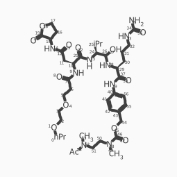 CCCOCCOCCC(=O)N[C@@H](CC(=O)NC1CCOC1=O)C(=O)N[C@@H](C(C)C)C(O)N[C@@H](CCCNC(N)=O)C(=O)Nc1ccc(COC(=O)N(C)CCN(C)C(C)=O)cc1